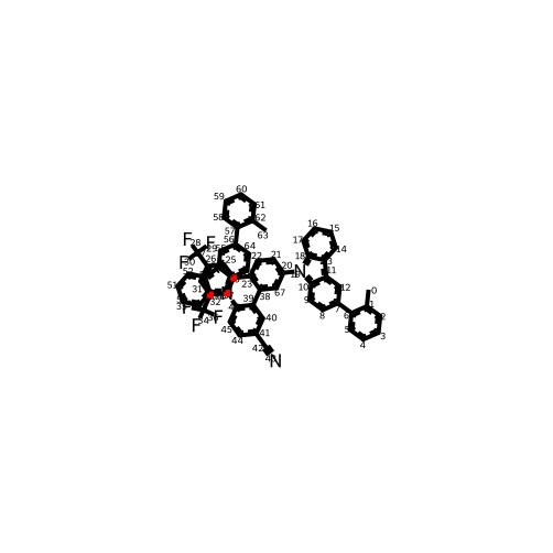 Cc1ccccc1-c1ccc2c(c1)c1ccccc1n2-c1ccc(-c2cc(C(F)(F)F)cc(C(F)(F)F)c2)c(-c2cc(C#N)ccc2-n2c3ccccc3c3cc(-c4ccccc4C)ccc32)c1